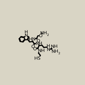 N=C(N)NCCCC(NC(=O)C(Cc1c[nH]c2ccccc12)NC(=O)CON)C(=O)NCCS